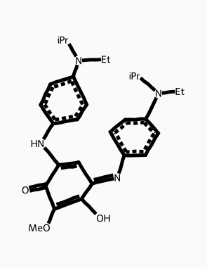 CCN(c1ccc(N=C2C=C(Nc3ccc(N(CC)C(C)C)cc3)C(=O)C(OC)=C2O)cc1)C(C)C